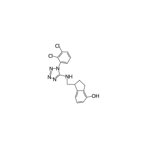 Oc1cccc2c1CCC2CNc1nnnn1-c1cccc(Cl)c1Cl